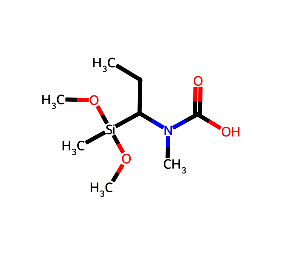 CCC(N(C)C(=O)O)[Si](C)(OC)OC